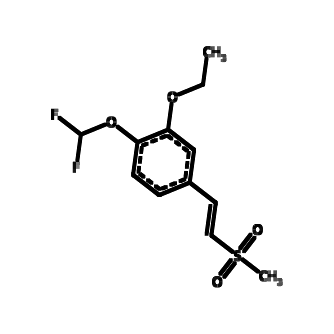 CCOc1cc(C=CS(C)(=O)=O)ccc1OC(F)F